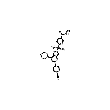 C[N+](C)(c1ncc(C(=O)NO)cn1)c1cc2nc(-c3ccc(C#N)cc3)nc(N3CCOCC3)c2s1